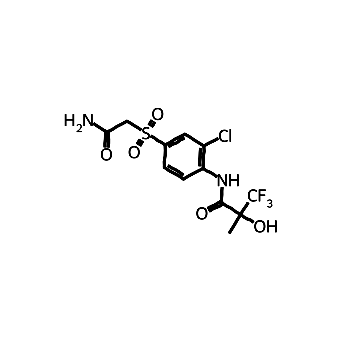 CC(O)(C(=O)Nc1ccc(S(=O)(=O)CC(N)=O)cc1Cl)C(F)(F)F